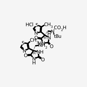 Cc1scnc1[C@@]1(CN(C(=O)O)C(C)(C)C)NC(=O)NC1=O.Cc1scnc1[C@@]1(CN)NC(=O)NC1=O.Cl